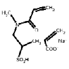 C=CC(=O)N(C)CC(C)S(=O)(=O)O.C=CC(=O)[O-].[Na+]